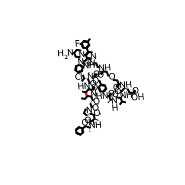 CC[C@H](C)[C@@H]([C@@H](CC(=O)N1CCC[C@H]1[C@H](OC)[C@@H](C)C(=O)N[C@H](C)[C@@H](O)c1ccccc1)OC)N(C)C(=O)[C@@H](NC(=O)[C@H](C(C)C)N(C)C(=O)OCc1ccc(NC(=O)[C@H](C)NC(=O)[C@@H](NC(=O)[C@H](CCC(=O)O)NC(=O)CCOCCC(=O)NCCNc2ncc(-c3cc(C)cc(F)c3)c(N3CCC(N)CC3)c2-c2nc3ccc(Cl)cc3[nH]2)C(C)C)cc1)C(C)C